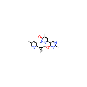 Cc1ccc(C2C(COc3nc(C)ncc3-c3cc(C)c(=O)n(C)n3)[C@H]2C)nc1